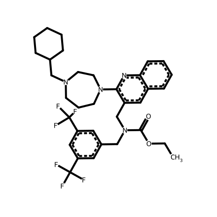 CCOC(=O)N(Cc1cc(C(F)(F)F)cc(C(F)(F)F)c1)Cc1cc2ccccc2nc1N1CCCN(CC2CCCCC2)CC1